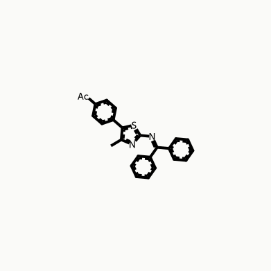 CC(=O)c1ccc(-c2sc(N=C(c3ccccc3)c3ccccc3)nc2C)cc1